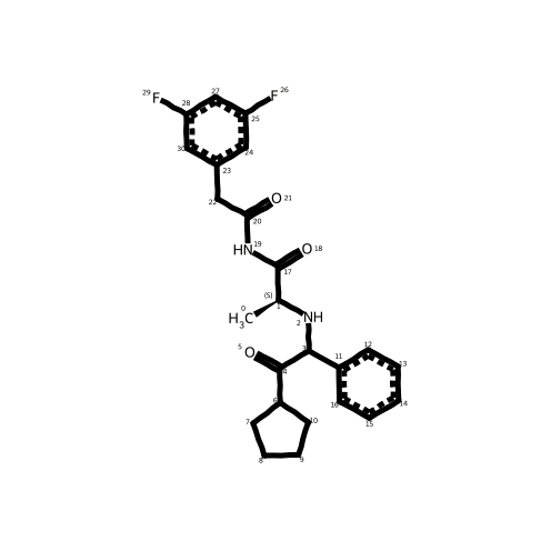 C[C@H](NC(C(=O)C1CCCC1)c1ccccc1)C(=O)NC(=O)Cc1cc(F)cc(F)c1